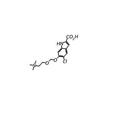 C[Si](C)(C)CCOCOc1cc2[nH]c(C(=O)O)cc2cc1Cl